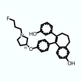 Oc1cccc(C2=C(c3ccc(O[C@H]4CCN(CCCF)C4)cc3)c3ccc(O)cc3CCC2)c1